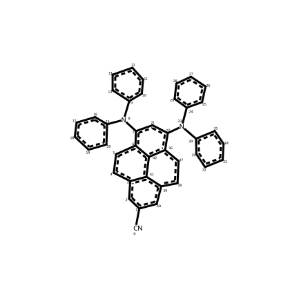 N#Cc1cc2ccc3c(N(c4ccccc4)c4ccccc4)cc(N(c4ccccc4)c4ccccc4)c4ccc(c1)c2c34